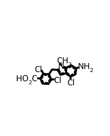 Cn1c(Cc2c(Cl)ccc(C(=O)O)c2Cl)cc2c(Cl)cc(N)cc21